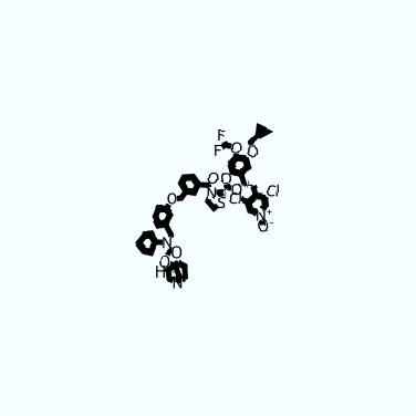 O=C(O[C@@H](Cc1c(Cl)c[n+]([O-])cc1Cl)c1ccc(OC(F)F)c(OCC2CC2)c1)[C@@H]1SCCN1C(=O)c1cccc(COc2cccc(CN(C(=O)O[C@H]3CN4CCC3CC4)c3ccccc3)c2)c1